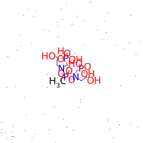 CP(=O)(ON(CCO)CP(=O)(O)O)ON(CCO)CP(=O)(O)O